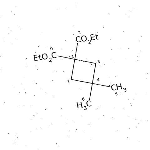 CCOC(=O)C1(C(=O)OCC)CC(C)(C)C1